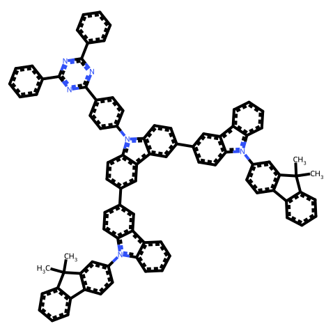 CC1(C)c2ccccc2-c2ccc(-n3c4ccccc4c4cc(-c5ccc6c(c5)c5cc(-c7ccc8c(c7)c7ccccc7n8-c7ccc8c(c7)C(C)(C)c7ccccc7-8)ccc5n6-c5ccc(-c6nc(-c7ccccc7)nc(-c7ccccc7)n6)cc5)ccc43)cc21